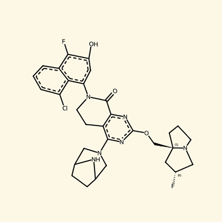 O=C1c2nc(OC[C@@]34CCCN3C[C@H](F)C4)nc(N3CC4CCC(C3)N4)c2CCN1c1cc(O)c(F)c2cccc(Cl)c12